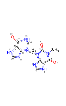 Cn1c(=O)c2[nH]cnc2n(C)c1=O.O=c1[nH]cnc2nc[nH]c12